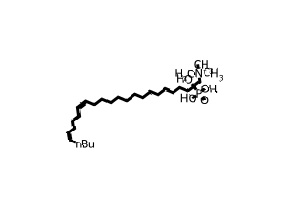 CCCC/C=C\CCC/C=C\CCCCCCCCCCCCCC(O)(C[N+](C)(C)C)P(=O)(O)O